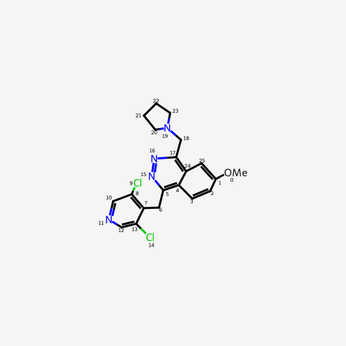 COc1ccc2c(Cc3c(Cl)cncc3Cl)nnc(CN3CCCC3)c2c1